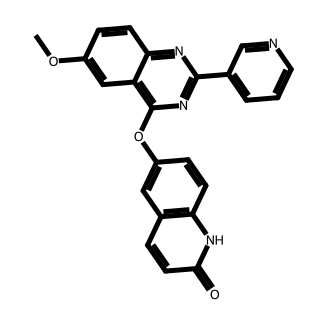 COc1ccc2nc(-c3cccnc3)nc(Oc3ccc4[nH]c(=O)ccc4c3)c2c1